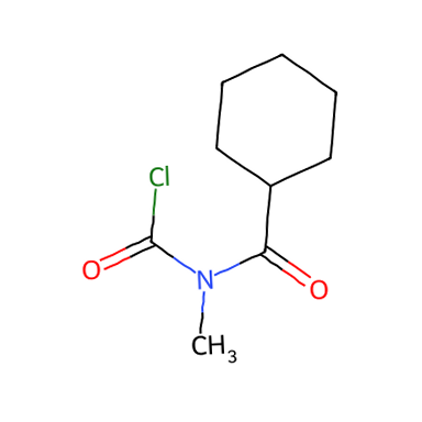 CN(C(=O)Cl)C(=O)C1CCCCC1